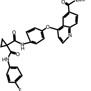 CNC(=O)c1ccc2nccc(Oc3ccc(NC(=O)C4(C(=O)Nc5ccc(F)cc5)CC4)cc3)c2c1